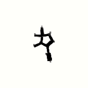 C#CC1=COP(C)(=O)C1C